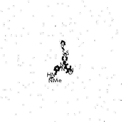 CNCCNCc1cccc(-c2nc(-c3c(C)noc3C)c(C)c(N3CCN(C(=S)SCCN4CCCC4)CC3)n2)c1